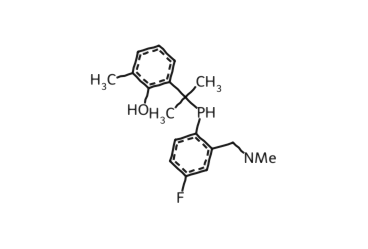 CNCc1cc(F)ccc1PC(C)(C)c1cccc(C)c1O